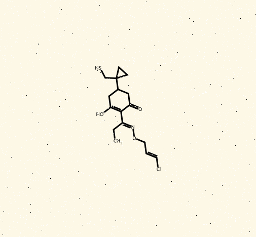 CCC(=NOCC=CCl)C1=C(O)CC(C2(CS)CC2)CC1=O